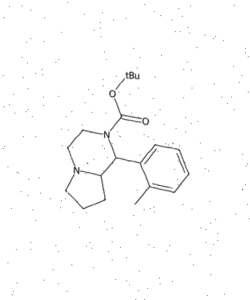 Cc1ccccc1C1C2CCCN2CCN1C(=O)OC(C)(C)C